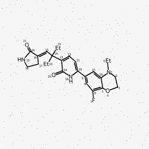 CCN1CCOc2c(F)cc(-c3ccc(C(C=C4CCNC4=O)(CC)CC)c(=O)[nH]3)cc21